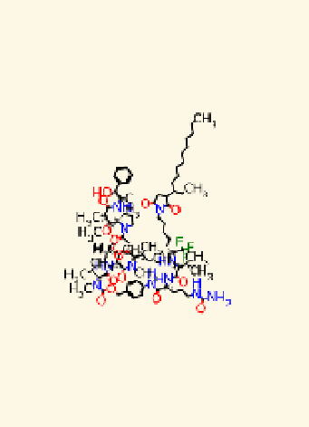 CCCCCCCCCCC(CC)C1CC(=O)N(CCCCC[C@@H](N[C@H](C(=O)N[C@@H](CCCNC(N)=O)C(=O)Nc2ccc(COC(=O)N(C)[C@H](C(=O)N[C@H](C(=O)N(C)[C@@H]([C@@H](C)CC)[C@@H](CC(=O)N3CCC[C@H]3[C@H](OC)[C@@H](C)C(=O)N[C@H](C)[C@@H](O)c3ccccc3)OC)C(C)C)C(C)C)cc2)C(C)C)C(F)(F)F)C1=O